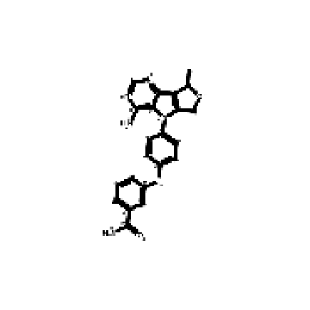 CC1OCc2c1c1ncnc(N)c1n2-c1ccc(Oc2cccc(C(N)=O)c2)cc1